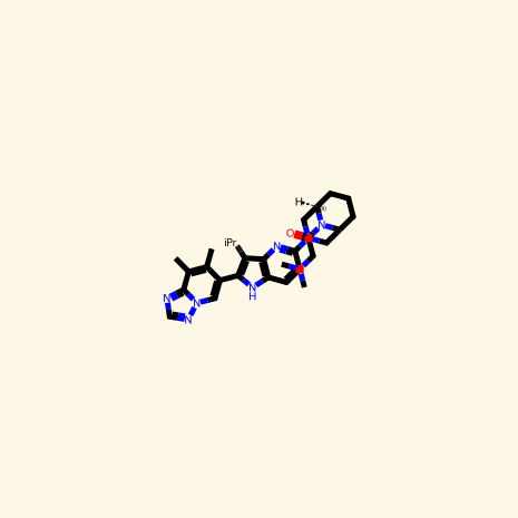 Cc1c(-c2[nH]c3ccc(N4CC5CCC[C@H](C4)N5C(=O)CN(C)C)nc3c2C(C)C)cn2ncnc2c1C